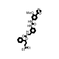 CCN(CC)CCC(OC(=O)NCc1cccc(NC(=O)Nc2ccc(-c3cnco3)c(OC)c2)c1)c1ccccc1